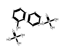 O=P(O)(O)O.O=P(O)(O)O.Oc1ccccc1.c1ccccc1